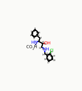 O=C(O)NC(Cc1ccccc1)C(O)CNCc1ccccc1Cl